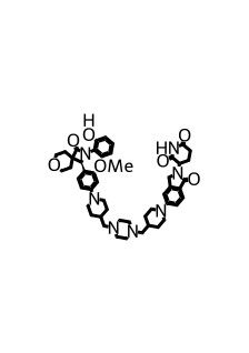 COc1cc(N2CCC(CN3CCN(CC4CCN(c5ccc6c(c5)CN(C5CCC(=O)NC5=O)C6=O)CC4)CC3)CC2)ccc1[C@@H]1N(c2ccccc2O)C(=O)C12CCOCC2